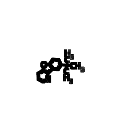 CC(C)(C)c1ccc2oc3cccnc3c2c1